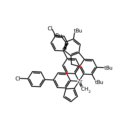 [CH2]=[Zr]([C]1=CC=CC1)([c]1ccc(-c2ccc(Cl)cc2)cc1)([c]1ccc(-c2ccc(Cl)cc2)cc1)[c]1c2c(cc(C(C)(C)C)c1C(C)(C)C)-c1cc(C(C)(C)C)c(C(C)(C)C)cc1C2